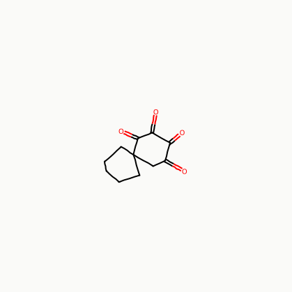 O=C1CC2(CCCCC2)C(=O)C(=O)C1=O